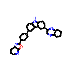 c1ccc2nc(-c3ccc4[nH]c5ccc(-c6ccc(-c7nc8cccnc8o7)cc6)cc5c4c3)cnc2c1